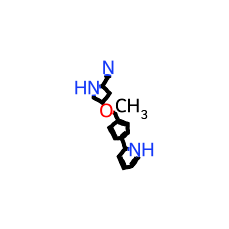 CC(O[C@@H]1CNC(C#N)C1)c1ccc(C2C=CC=CN2)cc1